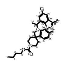 CCCCOC(=O)N1CCC(COC(C)c2cc(Cl)cc3c(Br)n[nH]c23)(c2ccc(F)cc2)CC1